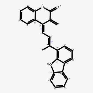 C=c1c(=O)oc2ccccc2/c1=C/C=C(\C)c1cccc2c1oc1ccccc12